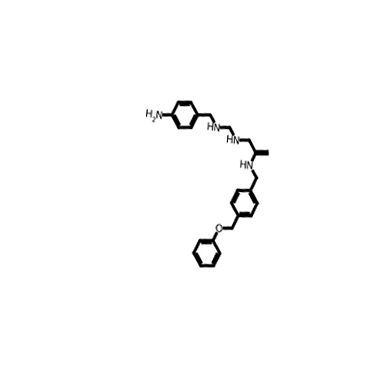 C=C(CNCNCc1ccc(N)cc1)NCc1ccc(COc2ccccc2)cc1